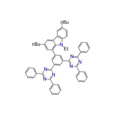 CCCCc1ccc2c(c1)c1cc(CCCC)cc(-c3cc(-c4nc(-c5ccccc5)nc(-c5ccccc5)n4)cc(-c4nc(-c5ccccc5)nc(-c5ccccc5)n4)c3)c1n2CC